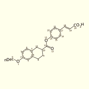 CCCCCCCCCCOc1ccc2c(c1)CCC(C(=O)Oc1ccc(C=CC(=O)O)cc1)C2